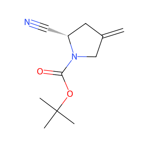 C=C1C[C@@H](C#N)N(C(=O)OC(C)(C)C)C1